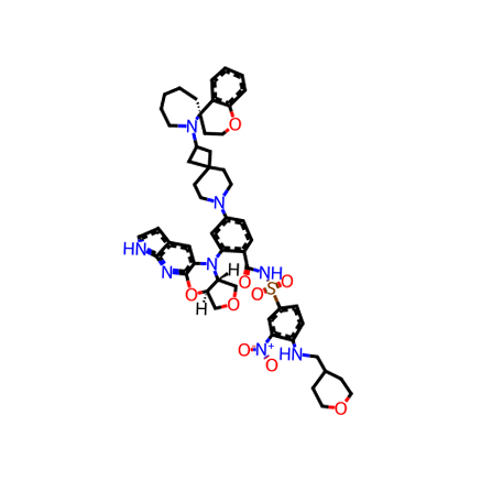 O=C(NS(=O)(=O)c1ccc(NCC2CCOCC2)c([N+](=O)[O-])c1)c1ccc(N2CCC3(CC2)CC(N2CCCCC[C@]24CCOc2ccccc24)C3)cc1N1c2cc3cc[nH]c3nc2O[C@@H]2COC[C@H]21